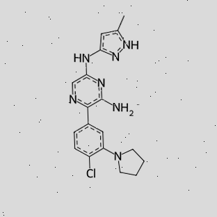 Cc1cc(Nc2cnc(-c3ccc(Cl)c(N4CCCC4)c3)c(N)n2)n[nH]1